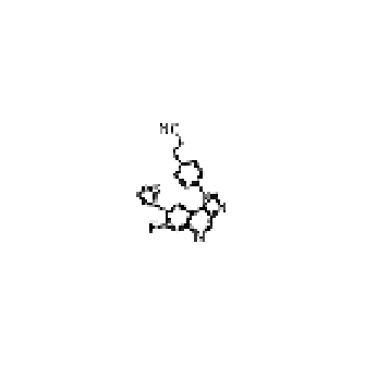 N#CCCc1ccc(-n2cnc3cnc4cc(F)c(-c5cccs5)cc4c32)cc1